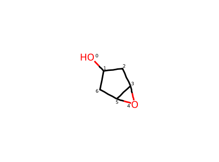 OC1CC2OC2C1